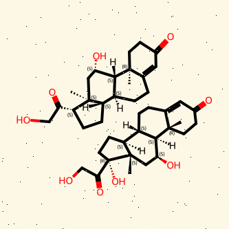 C[C@]12CCC(=O)C=C1CC[C@@H]1[C@@H]2[C@@H](O)C[C@@]2(C)[C@H]1CC[C@]2(O)C(=O)CO.C[C@]12C[C@H](O)[C@H]3[C@@H](CCC4=CC(=O)CC[C@@]43C)[C@@H]1CC[C@@H]2C(=O)CO